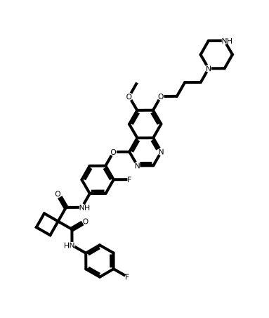 COc1cc2c(Oc3ccc(NC(=O)C4(C(=O)Nc5ccc(F)cc5)CCC4)cc3F)ncnc2cc1OCCCN1CCNCC1